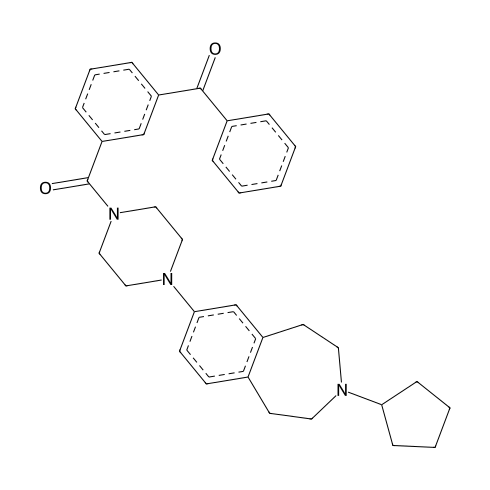 O=C(c1ccccc1)c1cccc(C(=O)N2CCN(c3ccc4c(c3)CCN(C3CCCC3)CC4)CC2)c1